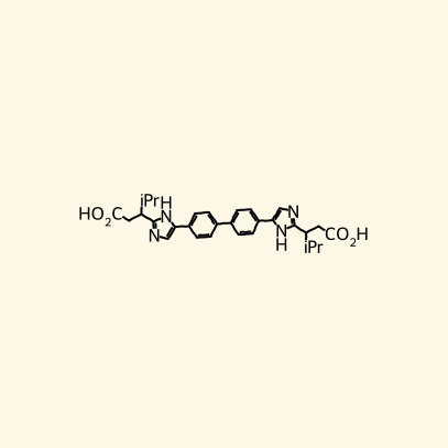 CC(C)C(CC(=O)O)c1ncc(-c2ccc(-c3ccc(-c4cnc(C(CC(=O)O)C(C)C)[nH]4)cc3)cc2)[nH]1